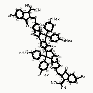 CCCCCCc1ccc(C2(c3ccc(CCCCCC)cc3)c3c(sc4cc(/C=C5\C(=O)c6cc(F)ccc6C5=C(C#N)C#N)sc34)-c3sc4c5c(sc4c32)-c2sc3cc(/C=C4\C(=O)c6cc(F)ccc6C4=C(C#N)C#N)sc3c2C5(c2ccc(CCCCCC)cc2)c2ccc(CCCCCC)cc2)cc1